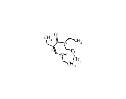 CCN/C=C(/CC)C(=O)[C@@H](CC)COC